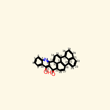 O=C1c2c(nc3ccccc3c2O)-c2ccc3c4cccc5cccc(c6ccc1c2c63)c54